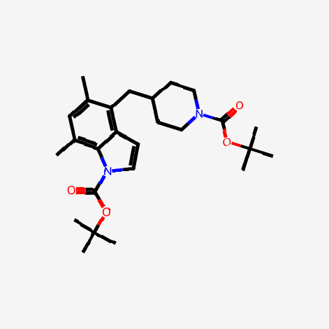 Cc1cc(C)c2c(ccn2C(=O)OC(C)(C)C)c1CC1CCN(C(=O)OC(C)(C)C)CC1